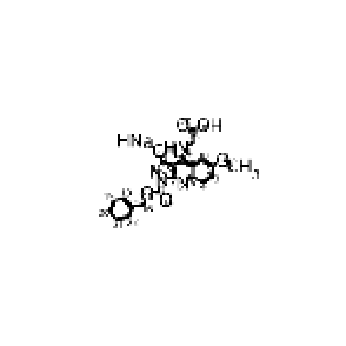 COc1ccc2nc3c(c(C)nn3C(=O)OCc3ccccc3)c(NCC(=O)O)c2c1.[NaH]